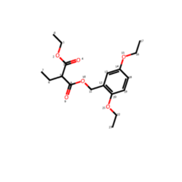 CCOC(=O)C(CC)C(=O)OCc1cc(OCC)ccc1OCC